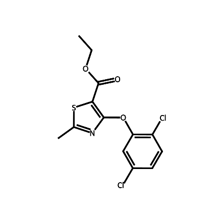 CCOC(=O)c1sc(C)nc1Oc1cc(Cl)ccc1Cl